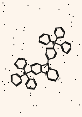 C1=CN2c3cc([Si](c4ccccc4)(c4ccccc4)c4ccccc4)ccc3N(c3ccc([Si](c4ccccc4)(c4ccccc4)c4ccccc4)cc3)N2C=C1